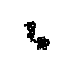 CC[C@H]1CC2C3CC[C@H]([C@H](C)CCC(=O)NS(=O)(=O)c4c(Cl)cccc4Cl)[C@@]3(C)CCC2[C@@]2(C)CCCC[C@@H]12